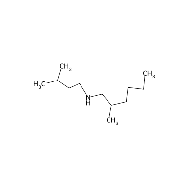 CCCCC(C)CNCCC(C)C